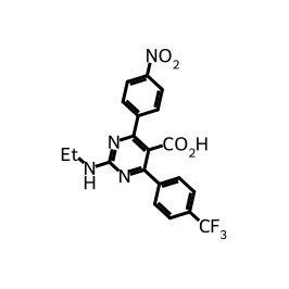 CCNc1nc(-c2ccc([N+](=O)[O-])cc2)c(C(=O)O)c(-c2ccc(C(F)(F)F)cc2)n1